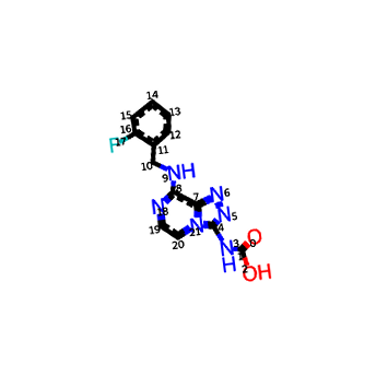 O=C(O)Nc1nnc2c(NCc3ccccc3F)nccn12